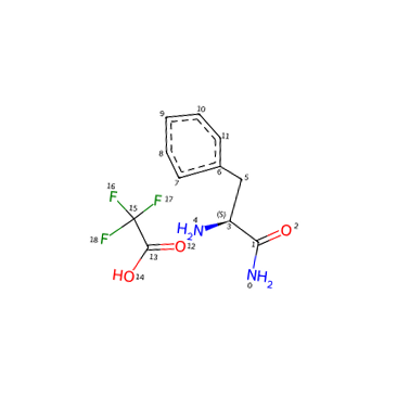 NC(=O)[C@@H](N)Cc1ccccc1.O=C(O)C(F)(F)F